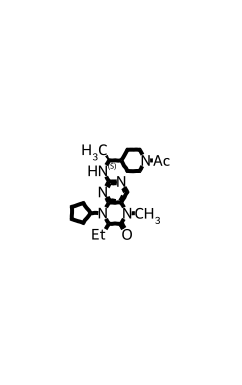 CCC1C(=O)N(C)c2cnc(N[C@@H](C)C3CCN(C(C)=O)CC3)nc2N1C1CCCC1